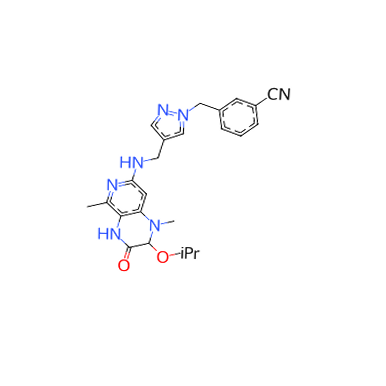 Cc1nc(NCc2cnn(Cc3cccc(C#N)c3)c2)cc2c1NC(=O)C(OC(C)C)N2C